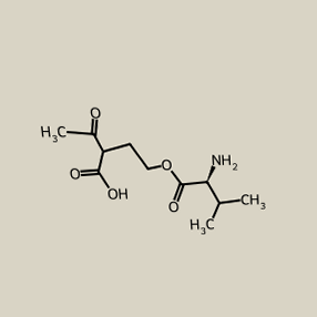 CC(=O)C(CCOC(=O)[C@@H](N)C(C)C)C(=O)O